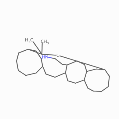 CC1(C)CC2CCCCCC3CCC4CCC5CCCCCC1CC5NCCC4CCC3C2